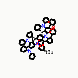 CC(C)(C)c1ccc(N2c3cc4c(cc3B3c5ccccc5N(c5ccccc5)c5c3c2cc2c5c3ccccc3n2-c2ccccc2)B2c3ccccc3N(c3ccccc3)c3c2c(cc2oc5ccccc5c32)N4c2c(-c3ccccc3)cccc2-c2ccccc2)cc1